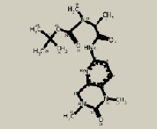 C[C@@H](C(=O)Nc1ccc2c(n1)CN(C)C(=O)N2C)N(C)C(=O)OC(C)(C)C